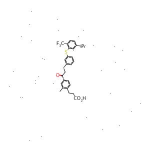 Cc1cc(C(=O)CCc2cccc(Sc3cc(C(C)C)ccc3C(F)(F)F)c2)ccc1CCC(=O)O